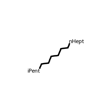 C[CH]CC(C)CCCCCCCCCCCCC